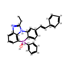 CCc1nc2cccc3c2n1-c1cc(/C=C/c2ccccc2)ccc1P3(=O)c1ccccc1